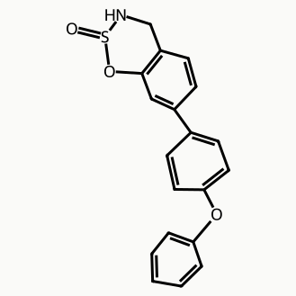 O=S1NCc2ccc(-c3ccc(Oc4ccccc4)cc3)cc2O1